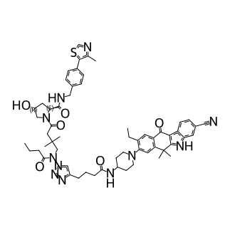 CCCC(=O)N(CC(C)(C)CC(=O)N1C[C@H](O)C[C@H]1C(=O)NCc1ccc(-c2scnc2C)cc1)n1cc(CCCC(=O)NC2CCN(c3cc4c(cc3CC)C(=O)c3c([nH]c5cc(C#N)ccc35)C4(C)C)CC2)nn1